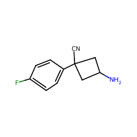 N#CC1(c2ccc(F)cc2)CC(N)C1